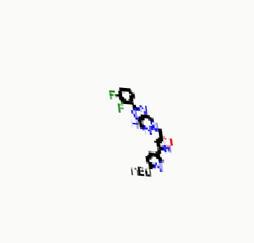 CCCCc1ccc(-c2cc(CN3Cc4nc(-c5cccc(F)c5F)[nH]c4C=N3)on2)cn1